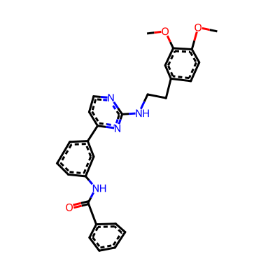 COc1ccc(CCNc2nccc(-c3cccc(NC(=O)c4ccccc4)c3)n2)cc1OC